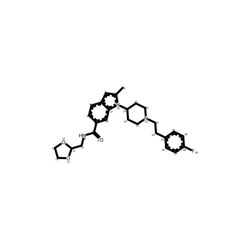 Cc1cc2ccc(C(=O)NCC3OCCO3)cc2n1C1CCN(CCc2ccc(F)cc2)CC1